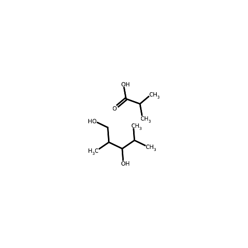 CC(C)C(=O)O.CC(C)C(O)C(C)CO